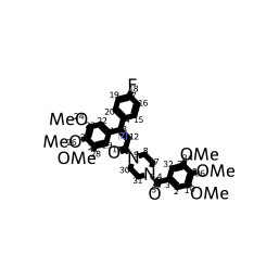 COc1cc(C(=O)N2CCN(C(=O)/C=C(/c3ccc(F)cc3)c3cc(OC)c(OC)c(OC)c3)CC2)cc(OC)c1OC